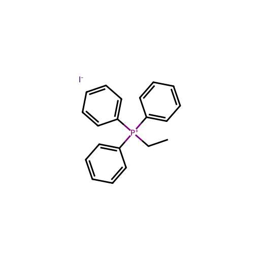 CC[P+](c1ccccc1)(c1ccccc1)c1ccccc1.[I-]